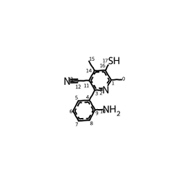 Cc1nc(-c2ccccc2N)c(C#N)c(C)c1S